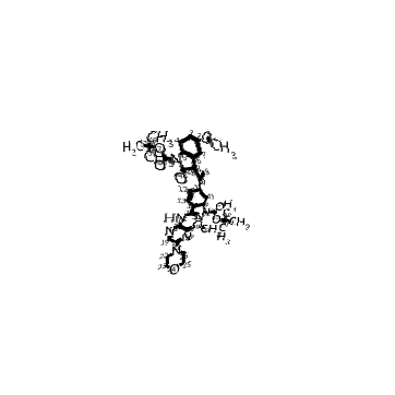 COc1ccc2c(c1)[C@]1(C[C@H]1c1ccc3c(Nc4ncc(N5CCOCC5)nc4OC)nn(C(=O)OC(C)(C)C)c3c1)C(=O)N2C(=O)OC(C)(C)C